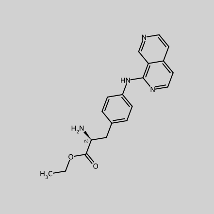 CCOC(=O)[C@@H](N)Cc1ccc(Nc2nccc3ccncc23)cc1